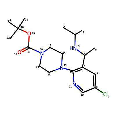 CC(C)NC(C)c1cc(Cl)cnc1N1CCN(C(=O)OC(C)(C)C)CC1